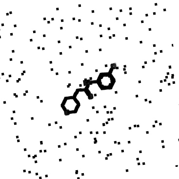 O=C(CC1CCOCC1)Nc1cccc(Cl)c1